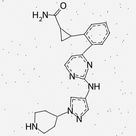 NC(=O)C1CC1c1ccccc1-c1ccnc(Nc2cnn(C3CCNCC3)c2)n1